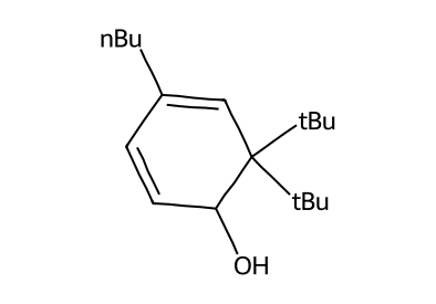 CCCCC1=CC(C(C)(C)C)(C(C)(C)C)C(O)C=C1